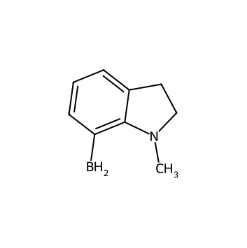 Bc1cccc2c1N(C)CC2